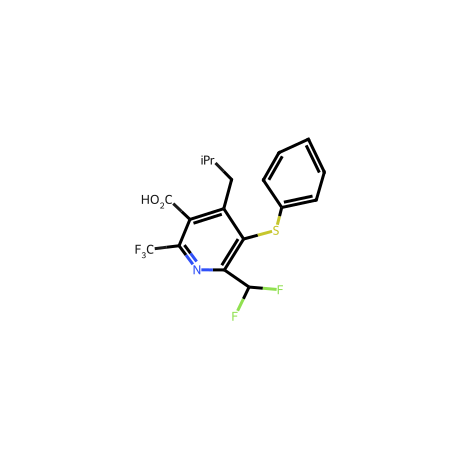 CC(C)Cc1c(Sc2ccccc2)c(C(F)F)nc(C(F)(F)F)c1C(=O)O